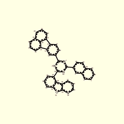 c1ccc2cc(-c3nc(-c4ccc5c(c4)-c4cccc6cccc-5c46)nc(-c4cccc5oc6ncccc6c45)n3)ccc2c1